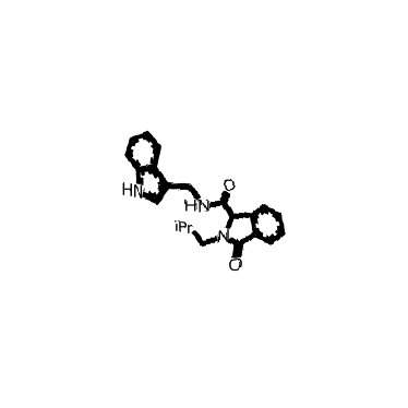 CC(C)CN1C(=O)c2ccccc2C1C(=O)NCc1c[nH]c2ccccc12